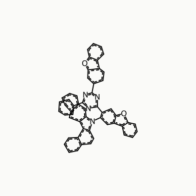 c1ccc(-c2nc(-c3ccc4c(c3)oc3ccccc34)nc(-c3cc4oc5ccccc5c4cc3-n3c4cc5ccccc5cc4c4c5ccccc5ccc43)n2)cc1